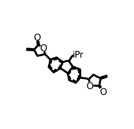 C=C1CC(c2ccc3c(c2)C(C(C)C)c2cc(C4CC(=C)C(=O)O4)ccc2-3)OC1=O